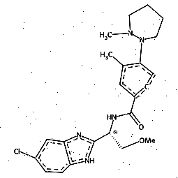 COC[C@@H](NC(=O)c1ccc(N2CCCCN2C)c(C)c1)c1nc2cc(Cl)ccc2[nH]1